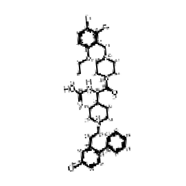 CCOc1ccc(F)c(F)c1CN1CCN(C(=O)[C@H](NC(=O)O)C2CCN(CCc3cc(Cl)ccc3-c3ccccc3)CC2)CC1